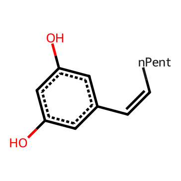 CCCCC/C=C\c1cc(O)cc(O)c1